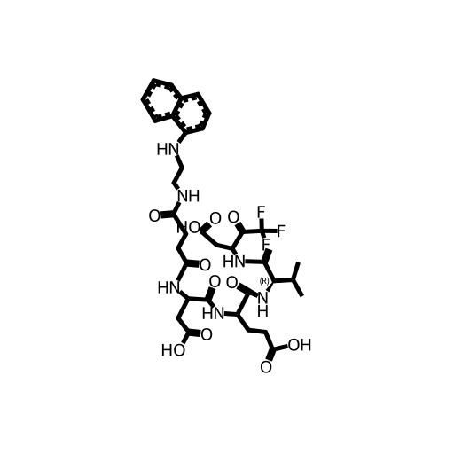 C=C(NC(CC(=O)O)C(=O)C(F)(F)F)[C@H](NC(=O)C(CCC(=O)O)NC(=O)C(CC(=O)O)NC(=O)CCC(=O)NCCNc1cccc2ccccc12)C(C)C